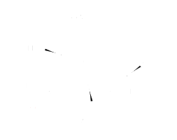 CC(=O)OC1C(=O)[C@H]2CCCC(OC(C)=O)[C@]2(C)[C@H]2CC[C@]3(C)CCC[C@H]3[C@H]12